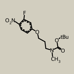 CN(CCCOc1ccc([N+](=O)[O-])c(F)c1)C(=O)OC(C)(C)C